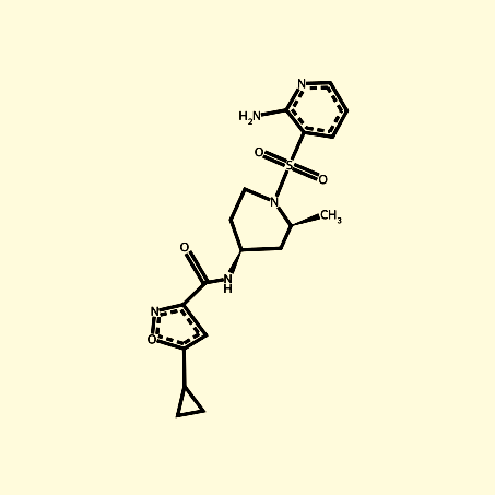 C[C@H]1C[C@@H](NC(=O)c2cc(C3CC3)on2)CCN1S(=O)(=O)c1cccnc1N